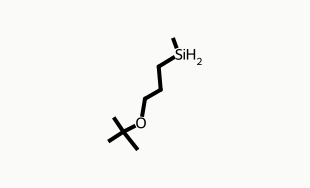 C[SiH2]CCCOC(C)(C)C